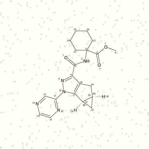 COC(=O)C1(NC(=O)c2nn(-c3cnccn3)c3c2C[C@H]2C[C@@H]32)CCCCC1